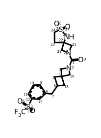 O=C(N1CC2(CC(Cc3cccc(S(=O)(=O)C(F)(F)F)c3)C2)C1)N1CC2(CCS(=O)(=O)N2)C1